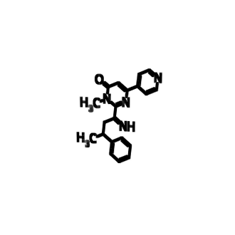 CC(CC(=N)c1nc(-c2ccncc2)cc(=O)n1C)c1ccccc1